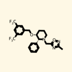 Cc1noc(CN2CCC[C@@H](OCc3cc(C(F)(F)F)cc(C(F)(F)F)c3)[C@H]2c2ccccc2)n1